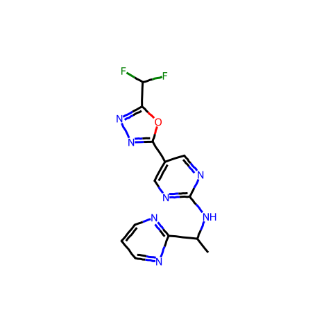 CC(Nc1ncc(-c2nnc(C(F)F)o2)cn1)c1ncccn1